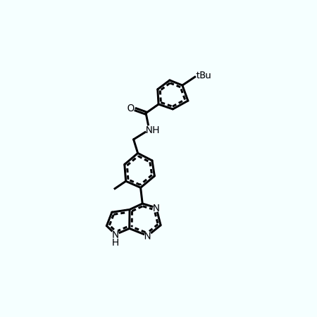 Cc1cc(CNC(=O)c2ccc(C(C)(C)C)cc2)ccc1-c1ncnc2[nH]ccc12